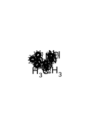 CC1(C)O[C@@H]2[C@H](O1)C(COC(c1ccccc1)(c1ccccc1)c1ccccc1)=C[C@H]2n1cnc2c(Cl)ncnc21